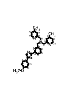 COc1ccc(-c2cnc(-c3cccc(CN(Cc4cc(C)ccn4)Cc4cc(C)ccn4)n3)s2)cc1